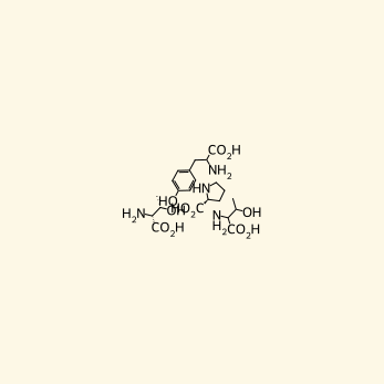 CC(O)C(N)C(=O)O.C[C@H](O)[C@@H](N)C(=O)O.NC(Cc1ccc(O)cc1)C(=O)O.O=C(O)[C@@H]1CCCN1